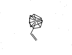 C=C[C]12[CH]3[CH]4[CH]5[CH]1[Ni]45321678[CH]2[CH]1[CH]6[CH]7[CH]28